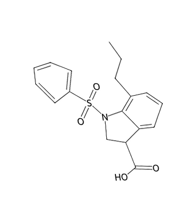 CCCc1cccc2c1N(S(=O)(=O)c1ccccc1)CC2C(=O)O